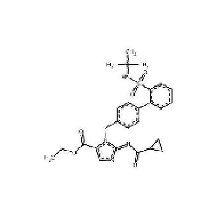 CCOC(=O)c1csc(=NC(=O)C2CC2)n1Cc1ccc(-c2ccccc2S(=O)(=O)NC(C)(C)C)cc1